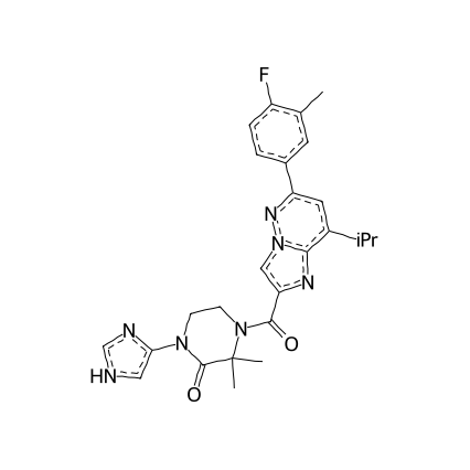 Cc1cc(-c2cc(C(C)C)c3nc(C(=O)N4CCN(c5c[nH]cn5)C(=O)C4(C)C)cn3n2)ccc1F